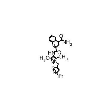 Cc1nn(Cc2cc(C(C)C)no2)c(C)c1NC(=O)c1cc(C(N)=O)c2ccccc2n1